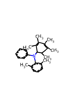 CC1=C(C)C(C)C(N(c2ccccc2)c2c(C)cccc2C)C(C)=C1C